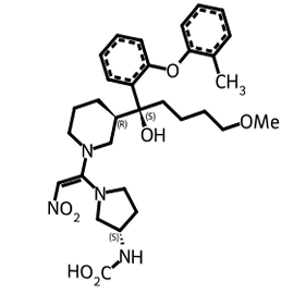 COCCCC[C@@](O)(c1ccccc1Oc1ccccc1C)[C@@H]1CCCN(C(=C[N+](=O)[O-])N2CC[C@H](NC(=O)O)C2)C1